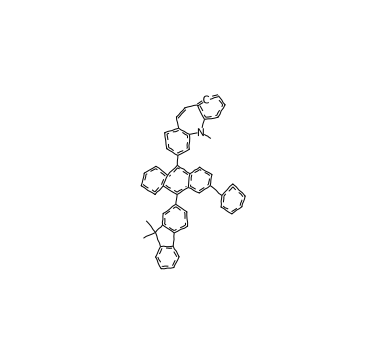 CN1c2ccccc2C=Cc2ccc(-c3c4ccccc4c(-c4ccc5c(c4)C(C)(C)c4ccccc4-5)c4cc(-c5ccccc5)ccc34)cc21